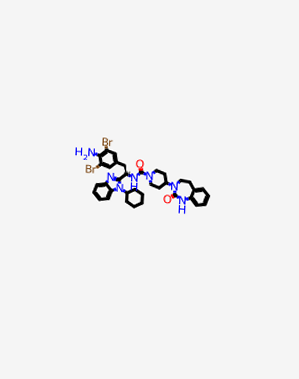 Nc1c(Br)cc(C[C@@H](NC(=O)N2CCC(N3CCc4ccccc4NC3=O)CC2)c2nc3ccccc3n2C2CCCCC2)cc1Br